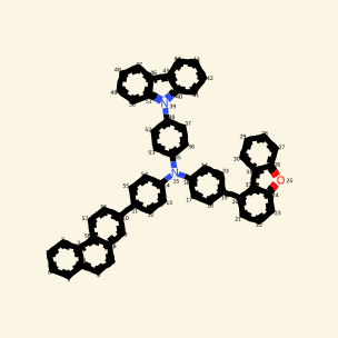 c1ccc2c(c1)ccc1cc(-c3ccc(N(c4ccc(-c5cccc6oc7ccccc7c56)cc4)c4ccc(-n5c6ccccc6c6ccccc65)cc4)cc3)ccc12